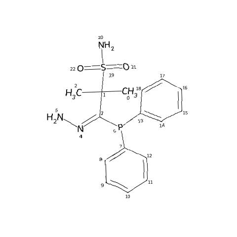 CC(C)(C(=NN)P(c1ccccc1)c1ccccc1)S(N)(=O)=O